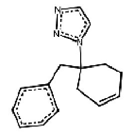 C1=CCC(Cc2ccccc2)(n2ccnn2)CC1